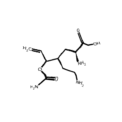 C=CC(OC(N)=O)C(CCN)C[C@H](N)C(=O)O